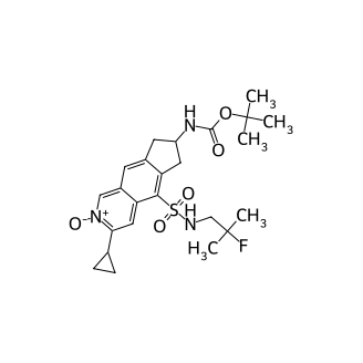 CC(C)(F)CNS(=O)(=O)c1c2c(cc3c[n+]([O-])c(C4CC4)cc13)CC(NC(=O)OC(C)(C)C)C2